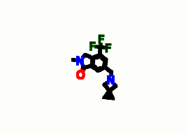 CN1Cc2c(cc(CN3CC4(CC4)C3)cc2C(F)(F)F)C1=O